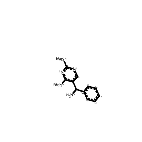 CNc1nc(SC)ncc1C(N)c1ccccc1